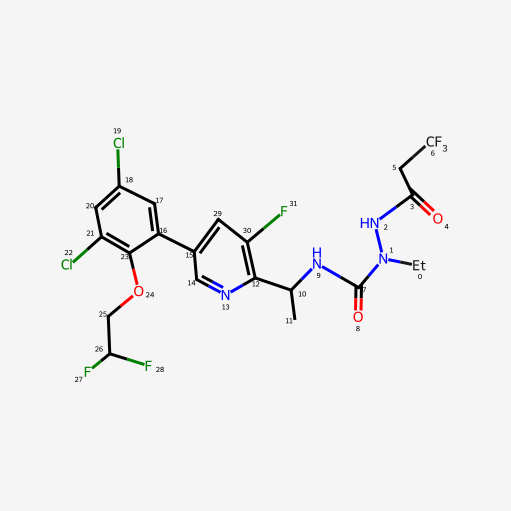 CCN(NC(=O)CC(F)(F)F)C(=O)NC(C)c1ncc(-c2cc(Cl)cc(Cl)c2OCC(F)F)cc1F